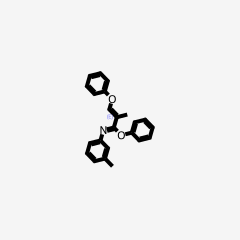 C/C(=C\Oc1ccccc1)C(=Nc1cccc(C)c1)Oc1ccccc1